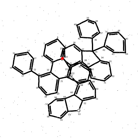 c1ccc(-c2ccccc2-c2c(-c3ccccc3)cccc2N(c2cccc3c2-c2ccccc2C3(c2ccccc2)c2ccccc2)c2cccc3oc4ccccc4c23)cc1